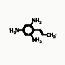 [CH2]C=Cc1c(N)cc(N)cc1N